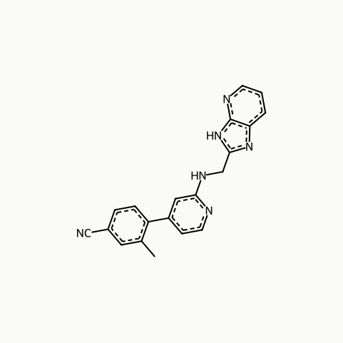 Cc1cc(C#N)ccc1-c1ccnc(NCc2nc3cccnc3[nH]2)c1